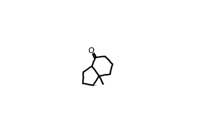 CC12[CH]CCC1C(=O)CCC2